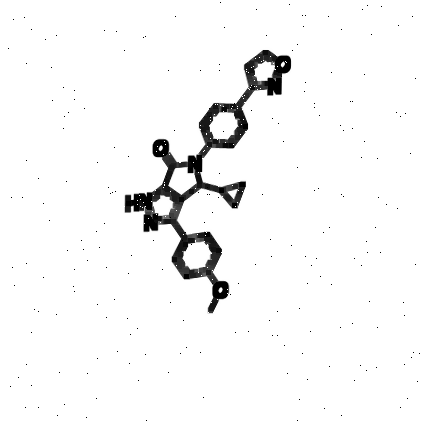 COc1ccc(-c2n[nH]c3c2C(C2CC2)N(c2ccc(-c4ccon4)cc2)C3=O)cc1